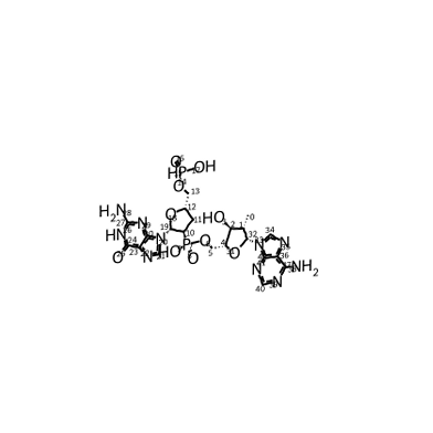 C[C@H]1[C@H](O)[C@@H](COP(=O)(O)[C@@H]2C[C@@H](CO[PH](=O)O)O[C@H]2n2cnc3c(=O)[nH]c(N)nc32)O[C@H]1n1cnc2c(N)ncnc21